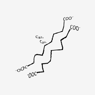 O=C([O-])CCCCCCCC(=O)[O-].O=C([O-])CCCCCCCC(=O)[O-].[Ca+2].[Ca+2]